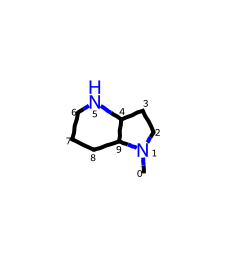 CN1CCC2NCCCC21